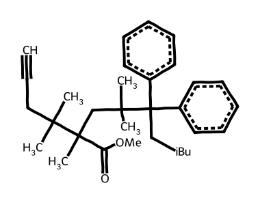 C#CCC(C)(C)C(C)(CC(C)(C)C(CC(C)CC)(c1ccccc1)c1ccccc1)C(=O)OC